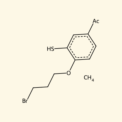 C.CC(=O)c1ccc(OCCCBr)c(S)c1